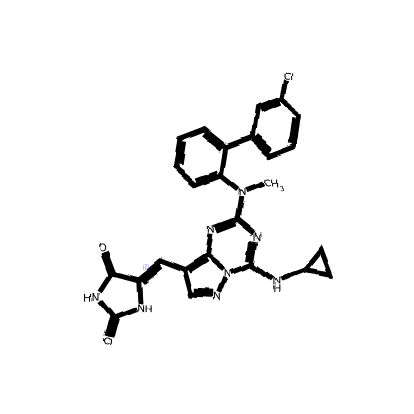 CN(c1nc(NC2CC2)n2ncc(/C=C3\NC(=O)NC3=O)c2n1)c1ccccc1-c1cccc(Cl)c1